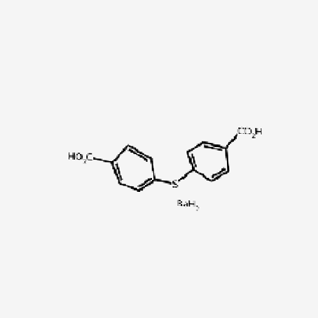 O=C(O)c1ccc(Sc2ccc(C(=O)O)cc2)cc1.[BaH2]